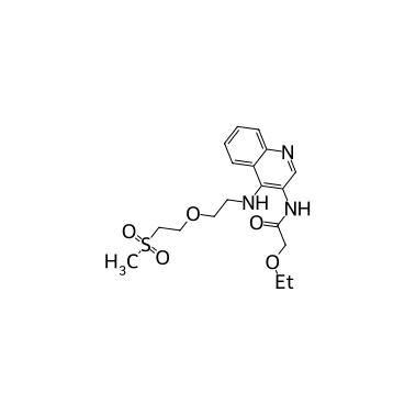 CCOCC(=O)Nc1cnc2ccccc2c1NCCOCCS(C)(=O)=O